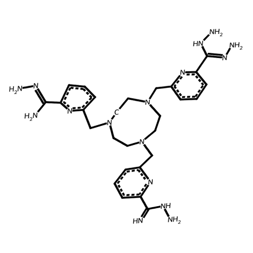 N=C(NN)c1cccc(CN2CCN(Cc3cccc(/C(N)=N/N)n3)CCN(Cc3cccc(/C(=N/N)NN)n3)CC2)n1